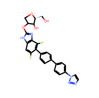 OC[C@H]1OCC(Oc2nc3c(F)c(-c4ccc(-c5ccc(-n6ccnn6)cc5)cc4)c(F)cc3[nH]2)C1O